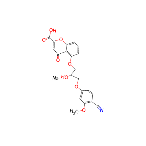 COc1cc(OCC(O)COc2cccc3oc(C(=O)O)cc(=O)c23)ccc1C#N.[Na]